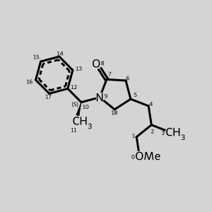 COCC(C)CC1CC(=O)N([C@@H](C)c2ccccc2)C1